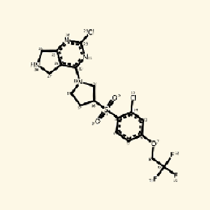 O=S(=O)(c1ccc(OCC(F)(F)F)cc1Cl)C1CCN(c2nc(Cl)nc3c2CNC3)C1